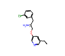 CCc1cncc(OC[C@@H](N)Cc2cccc(Cl)c2)c1